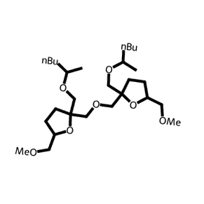 CCCCC(C)OCC1(COCC2(COC(C)CCCC)CCC(COC)O2)CCC(COC)O1